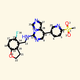 CS(=O)(=O)c1ccc(-c2cnc(NCc3c(F)ccc4c3CCO4)n3cncc23)cn1